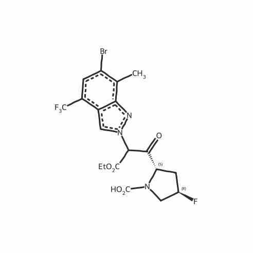 CCOC(=O)C(C(=O)[C@@H]1C[C@@H](F)CN1C(=O)O)n1cc2c(C(F)(F)F)cc(Br)c(C)c2n1